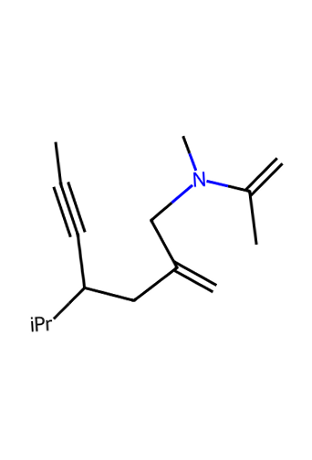 C=C(CC(C#CC)C(C)C)CN(C)C(=C)C